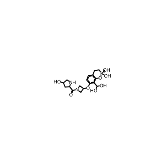 O=C(C1CC(O)CN1)N1CC(Oc2ccc3c(c2C(O)O)O[B-](O)(O)CC3)C1